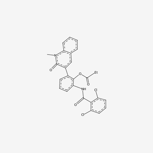 CCC(=O)Oc1c(NC(=O)c2c(Cl)cccc2Cl)cccc1-c1cc2ccccc2n(C)c1=O